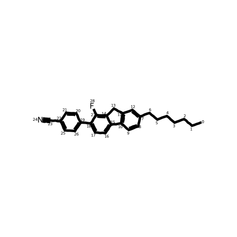 CCCCCCCc1ccc2c(c1)Cc1c-2ccc(-c2ccc(C#N)cc2)c1F